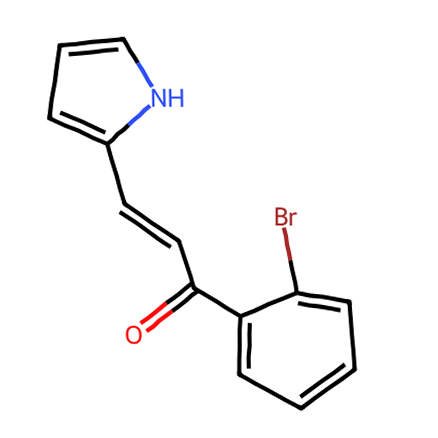 O=C(C=Cc1ccc[nH]1)c1ccccc1Br